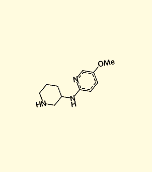 COc1ccc(NC2CCCNC2)nc1